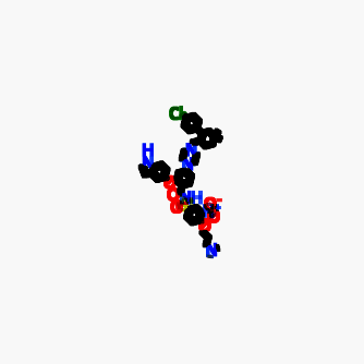 CN(C)CCCOc1ccc([S+]([O-])NC(=O)c2ccc(N3CCN(CC4=C(c5ccc(Cl)cc5)CC(C)(C)CC4)CC3)cc2Oc2ccc3[nH]ccc3c2)cc1[N+](=O)[O-]